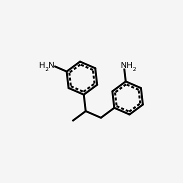 CC(Cc1cccc(N)c1)c1cccc(N)c1